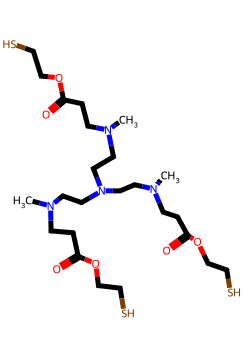 CN(CCC(=O)OCCS)CCN(CCN(C)CCC(=O)OCCS)CCN(C)CCC(=O)OCCS